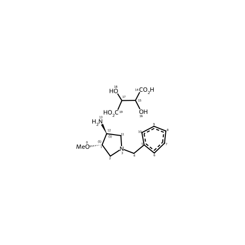 CO[C@H]1CN(Cc2ccccc2)C[C@@H]1N.O=C(O)C(O)C(O)C(=O)O